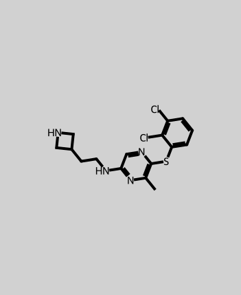 Cc1nc(NCCC2CNC2)cnc1Sc1cccc(Cl)c1Cl